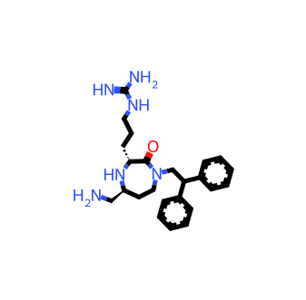 N=C(N)NCCC[C@H]1N[C@H](CN)CCN(CC(c2ccccc2)c2ccccc2)C1=O